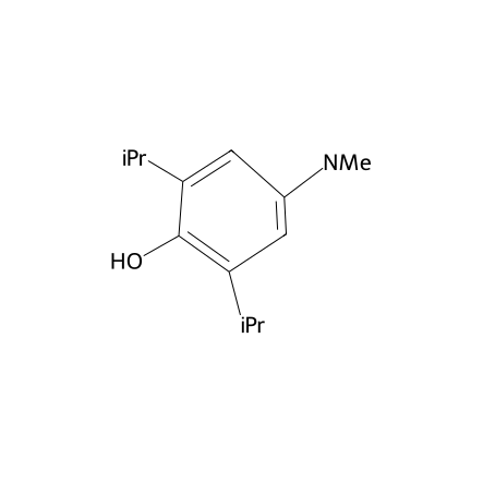 CNc1cc(C(C)C)c(O)c(C(C)C)c1